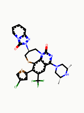 C[C@@H]1CN(c2nc(=O)n3c4c(c(-c5cc(Cl)cs5)c(C(F)(F)F)cc24)SC[C@@H](n2nc4ccccn4c2=O)C3)C[C@H](C)N1